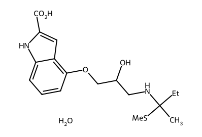 CCC(C)(NCC(O)COc1cccc2[nH]c(C(=O)O)cc12)SC.O